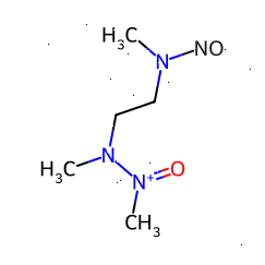 CN(CCN(C)[N+](C)=O)N=O